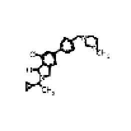 CC(C1CC1)N1Cc2cc(-c3ccc(CN4CCN(C)C4)cc3)cc(Cl)c2C1=O